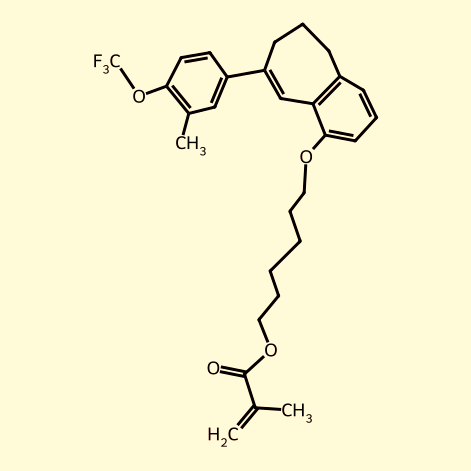 C=C(C)C(=O)OCCCCCCOc1cccc2c1C=C(c1ccc(OC(F)(F)F)c(C)c1)CCC2